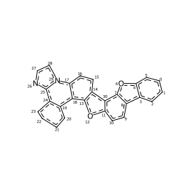 c1ccc2c(c1)oc1c2ccc2oc3c(ccc4c3c3ccccc3c3nccn43)c21